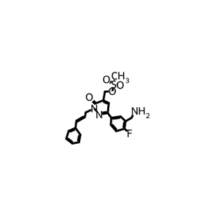 CS(=O)(=O)OCc1cc(-c2ccc(F)c(CN)c2)nn(C/C=C/c2ccccc2)c1=O